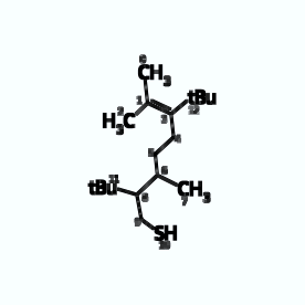 CC(C)=C(CCC(C)C(CS)C(C)(C)C)C(C)(C)C